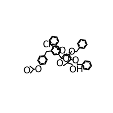 OCC12COC(c3ccc(Cl)c(Cc4ccc(OC5COC5)cc4)c3)(O1)C(OCc1ccccc1)[C@@H](OCc1ccccc1)[C@H]2OCc1ccccc1